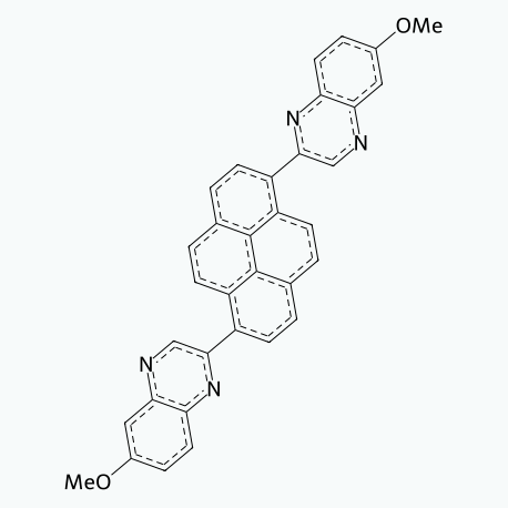 COc1ccc2nc(-c3ccc4ccc5c(-c6cnc7cc(OC)ccc7n6)ccc6ccc3c4c65)cnc2c1